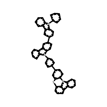 c1ccc(-n2c3ccccc3c3cc(-c4ccc5c(c4)c4ccccc4n5-c4ccc(-c5ccc6c(c5)Sc5cccc7c8ccccc8n-6c57)cc4)ccc32)cc1